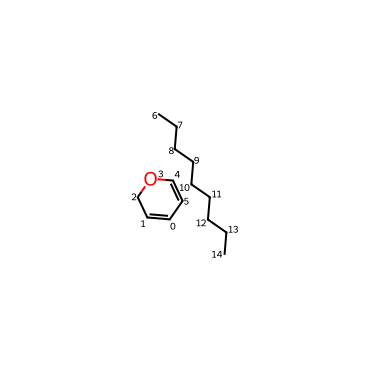 C1=CCOC=C1.CCCCCCCCC